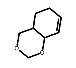 [CH]1OCC2CCC=CC2O1